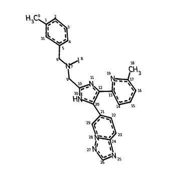 Cc1cccc(CN(I)Cc2nc(-c3cccc(C)n3)c(-c3ccc4ncnn4c3)[nH]2)c1